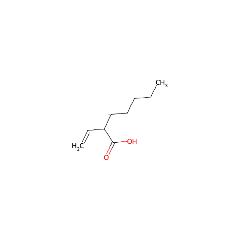 C=CC([CH]CCCC)C(=O)O